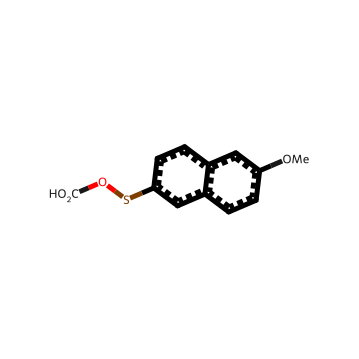 COc1ccc2cc(SOC(=O)O)ccc2c1